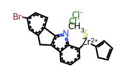 Cn1c2c(c3ccc[c]([Zr+2](=[S])[C]4=CC=CC4)c31)Cc1cc(Br)ccc1-2.[Cl-].[Cl-]